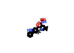 CN1CC2(CC2)C[C@H](C(=O)NO)[C@H]1C(=O)C1CCc2c([nH]c3ccccc23)C1